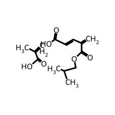 C=C(C)C(=O)O.C=C(C=CC(=O)O)C(=O)OCC(C)C